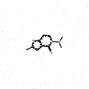 Cc1cc2c(=S)n(N(C)C)ccc2s1